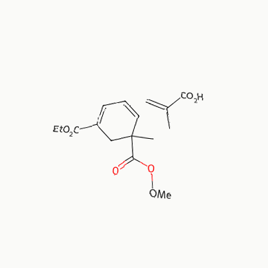 C=C(C)C(=O)O.CCOC(=O)C1=CC=CC(C)(C(=O)OOC)C1